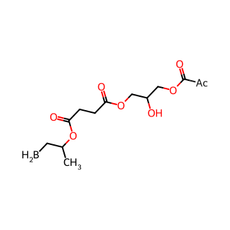 BCC(C)OC(=O)CCC(=O)OCC(O)COC(=O)C(C)=O